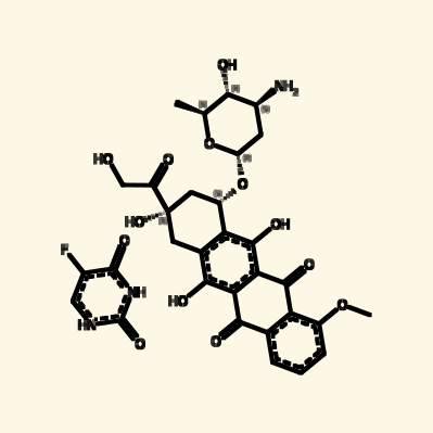 COc1cccc2c1C(=O)c1c(O)c3c(c(O)c1C2=O)C[C@@](O)(C(=O)CO)C[C@@H]3O[C@H]1C[C@H](N)[C@@H](O)[C@H](C)O1.O=c1[nH]cc(F)c(=O)[nH]1